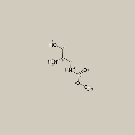 COC(=O)NCC(N)CO